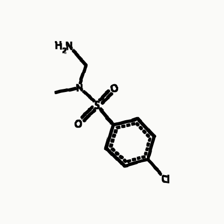 CN(CN)S(=O)(=O)c1ccc(Cl)cc1